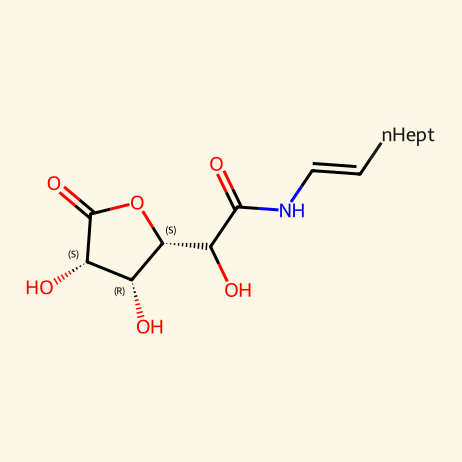 CCCCCCCC=CNC(=O)C(O)[C@H]1OC(=O)[C@@H](O)[C@H]1O